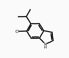 CC(C)c1cc2cc[nH]c2cc1Cl